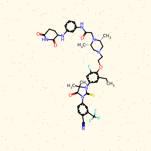 CCc1cc(N2C(=S)N(c3ccc(C#N)c(C(F)(F)F)c3)C(=O)C2(C)C)cc(F)c1OCCN1C[C@@H](C)N(CC(=O)Nc2cccc(NC3CCC(=O)NC3=O)c2)[C@@H](C)C1